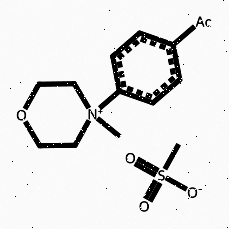 CC(=O)c1ccc([N+]2(C)CCOCC2)cc1.CS(=O)(=O)[O-]